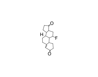 O=C1C=C2CC[C@H]3C4CCC(=O)C4CC(F)C3C2CC1